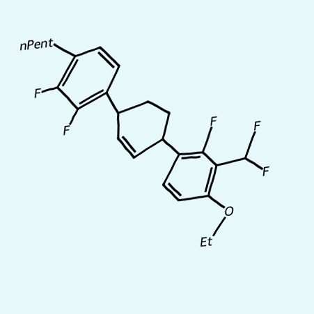 CCCCCc1ccc(C2C=CC(c3ccc(OCC)c(C(F)F)c3F)CC2)c(F)c1F